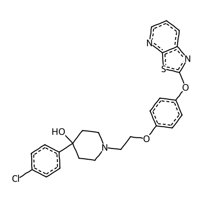 OC1(c2ccc(Cl)cc2)CCN(CCOc2ccc(Oc3nc4cccnc4s3)cc2)CC1